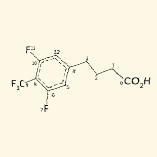 O=C(O)CCCc1cc(F)c(C(F)(F)F)c(F)c1